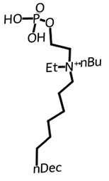 CCCCCCCCCCCCCCCC[N+](CC)(CCCC)CCOP(=O)(O)O